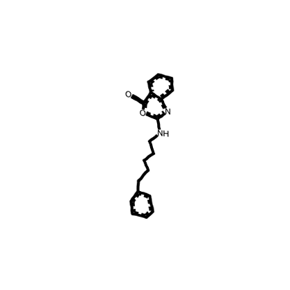 O=c1oc(NCCCCCc2ccccc2)nc2ccccc12